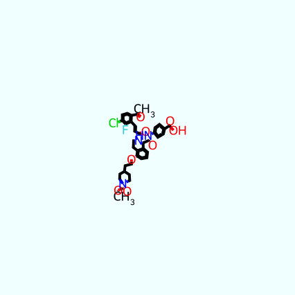 COC(=O)N1CCC(CCOc2cccc3c2CCN(C(=O)/C=C/c2c(C(C)=O)ccc(Cl)c2F)C3C(=O)Nc2ccc(C(=O)O)cc2)CC1